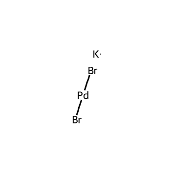 [Br][Pd][Br].[K]